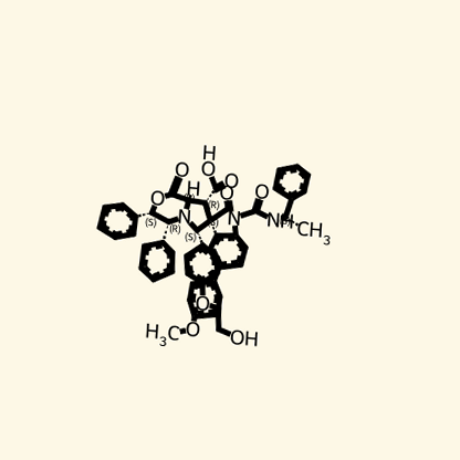 COc1ccc(-c2ccc3c(c2)[C@]2(C(=O)N3C(=O)N[C@@H](C)c3ccccc3)[C@H](c3ccc(OCCO)cc3)N3[C@H](c4ccccc4)[C@H](c4ccccc4)OC(=O)[C@H]3[C@@H]2C(=O)O)cc1